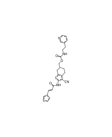 N#Cc1c(NC(=O)C=Cc2ccsc2)sc2c1CCC(COC(=O)NCCc1cccnc1)C2